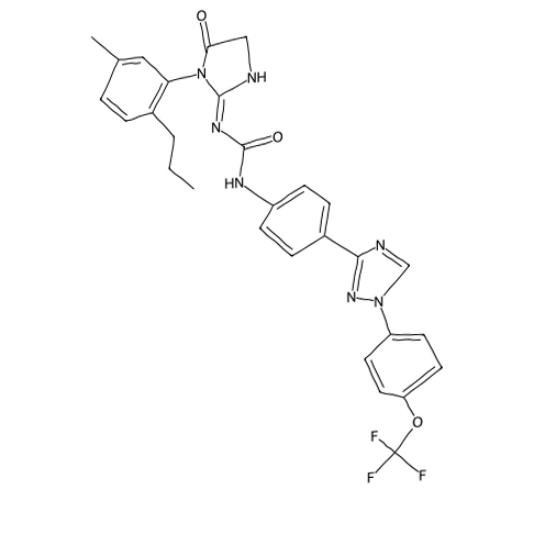 CCCc1ccc(C)cc1N1C(=O)CN/C1=N\C(=O)Nc1ccc(-c2ncn(-c3ccc(OC(F)(F)F)cc3)n2)cc1